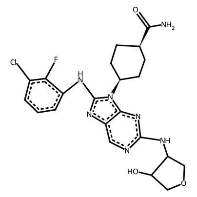 NC(=O)[C@H]1CC[C@@H](n2c(Nc3cccc(Cl)c3F)nc3cnc(NC4COCC4O)nc32)CC1